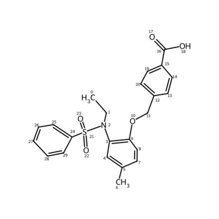 CCN(c1cc(C)ccc1OCc1ccc(C(=O)O)cc1)S(=O)(=O)c1ccccc1